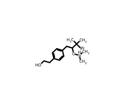 CC(C)C(C)(C)C(Cc1ccc(CCO)cc1)O[SiH](C)C